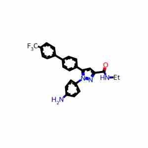 CCNC(=O)c1cc(-c2ccc(-c3ccc(C(F)(F)F)cc3)cc2)n(-c2ccc(N)cc2)n1